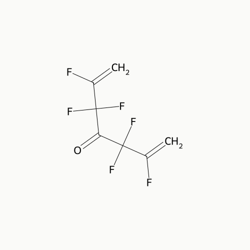 C=C(F)C(F)(F)C(=O)C(F)(F)C(=C)F